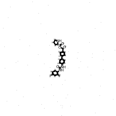 O=C(Nc1ccc(-c2ccc(C(=O)OC(=O)[C@@H]3CCCN3)cc2)cc1)Nc1ccc(F)cc1F